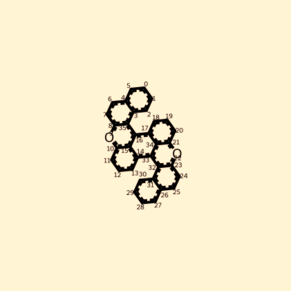 c1ccc2c(c1)ccc1oc3cccc4c3c(c3cccc5oc6ccc7ccccc7c6c4c53)c12